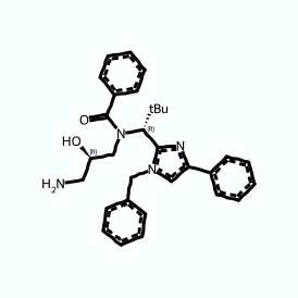 CC(C)(C)[C@H](c1nc(-c2ccccc2)cn1Cc1ccccc1)N(C[C@H](O)CN)C(=O)c1ccccc1